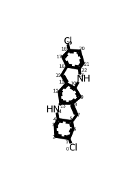 Clc1ccc2c(c1)C=c1cc3c(cc1N2)=Cc1cc(Cl)ccc1N3